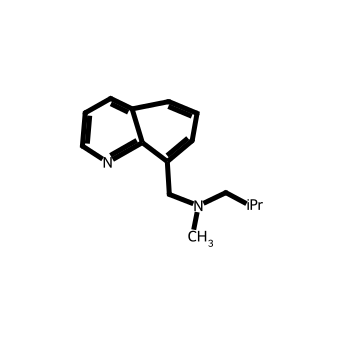 CC(C)CN(C)Cc1cccc2cccnc12